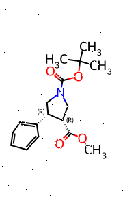 COC(=O)[C@H]1CN(C(=O)OC(C)(C)C)C[C@H]1c1ccccc1